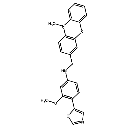 COc1cc(NCc2ccc3c(c2)Sc2ccccc2N3C)ccc1-c1cnco1